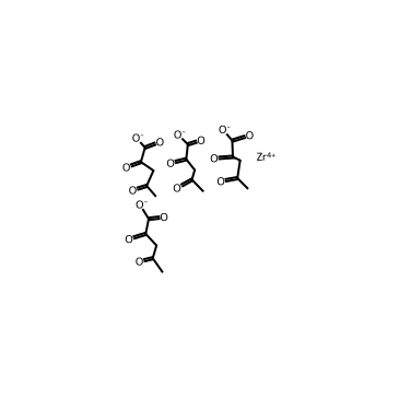 CC(=O)CC(=O)C(=O)[O-].CC(=O)CC(=O)C(=O)[O-].CC(=O)CC(=O)C(=O)[O-].CC(=O)CC(=O)C(=O)[O-].[Zr+4]